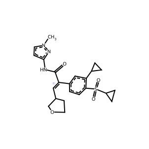 Cn1ccc(NC(=O)/C(=C/C2CCOC2)c2ccc(S(=O)(=O)C3CC3)c(C3CC3)c2)n1